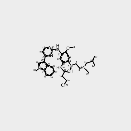 COc1cc(N(C)CCN(C)CC(C)C)c(NC(O)CCCl)cc1Nc1nccc(-c2cn(C)c3ccccc23)n1